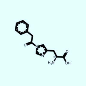 N[C@@H](Cc1cn(C(=O)Cc2ccccc2)cn1)C(=O)O